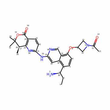 CC[C@@H](N)c1ccc(OC2CN(C(C)=O)C2)c2cnc(Nc3ccc4c(n3)[C@@H](C)C(C)(C)OC4=O)cc12